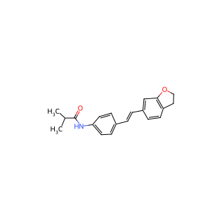 CC(C)C(=O)Nc1ccc(/C=C/c2ccc3c(c2)OCC3)cc1